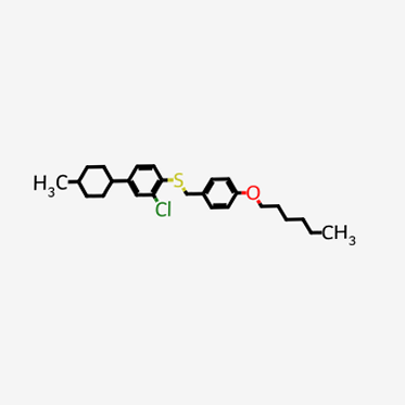 CCCCCCOc1ccc(CSc2ccc(C3CCC(C)CC3)cc2Cl)cc1